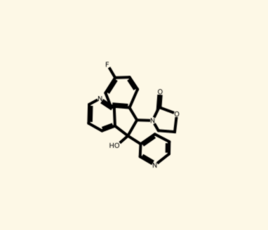 O=C1OCCN1C(c1ccc(F)cc1)C(O)(c1cccnc1)c1cccnc1